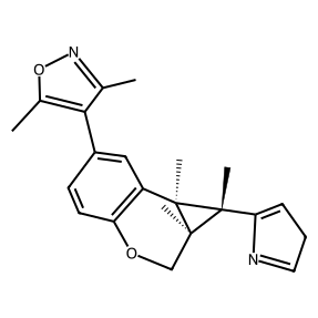 Cc1noc(C)c1-c1ccc2c(c1)[C@]1(C)[C@](C)(CO2)[C@@]1(C)C1=CCC=N1